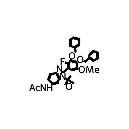 COc1cc(-c2nc3ccc(NC(C)=O)cc3n2C2(C)COC2)c(F)c(OCc2ccccc2)c1OCc1ccccc1